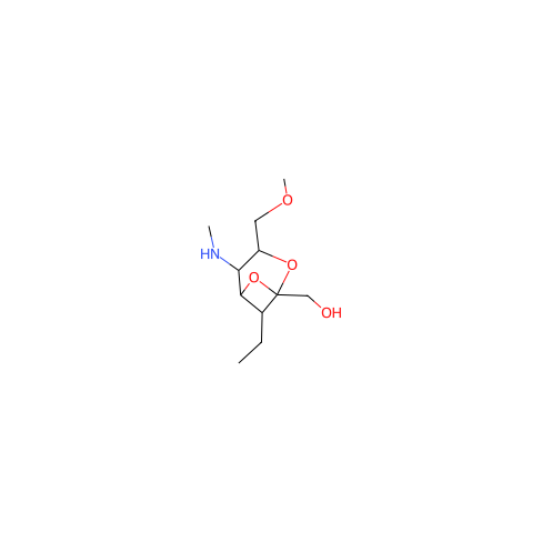 CCC1C2OC1(CO)OC(COC)C2NC